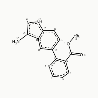 CC(C)(C)OC(=O)c1cccnc1-c1ccc2[nH]nc(N)c2c1